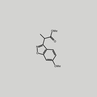 COC(=O)C(C)c1noc2cc(OC)ccc12